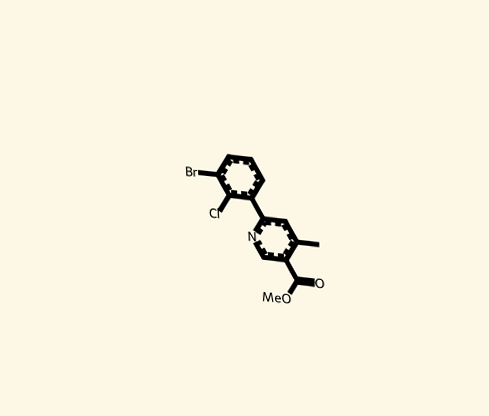 COC(=O)c1cnc(-c2cccc(Br)c2Cl)cc1C